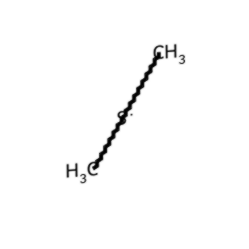 CCCCCCCCCCCCCCCCC[CH]SCCCCCCCCCCCCCC